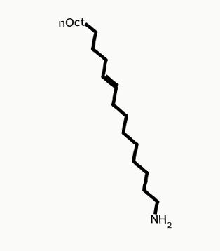 CCCCCCCCCCCC=CCCCCCCCCN